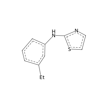 CCc1cccc(Nc2nccs2)c1